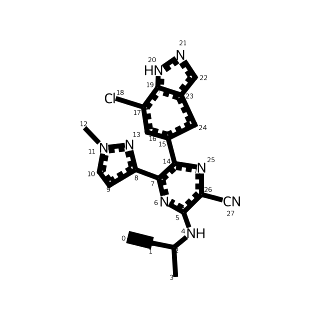 C#CC(C)Nc1nc(-c2ccn(C)n2)c(-c2cc(Cl)c3[nH]ncc3c2)nc1C#N